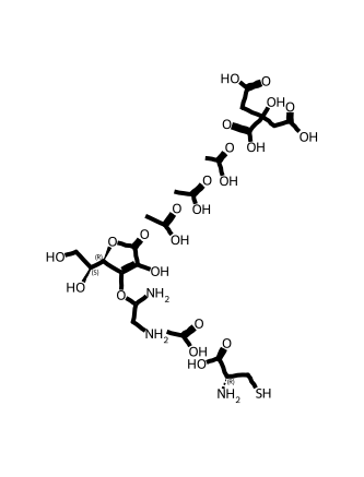 CC(=O)O.CC(=O)O.CC(=O)O.CC(=O)O.NCC(N)OC1=C(O)C(=O)O[C@@H]1[C@@H](O)CO.N[C@@H](CS)C(=O)O.O=C(O)CC(O)(CC(=O)O)C(=O)O